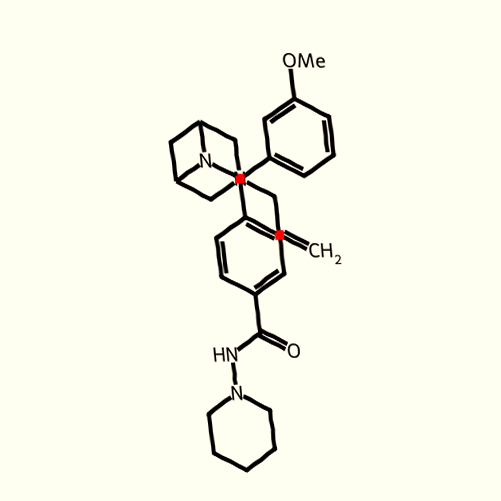 C=CCN1CC2CC(C1)N2C(c1ccc(C(=O)NN2CCCCC2)cc1)c1cccc(OC)c1